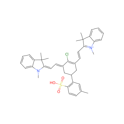 Cc1ccc(S(=O)(=O)O)c(C2CC(/C=C/C3=[N+](C)c4ccccc4C3(C)C)=C(Cl)C(=C/C=C3/N(C)c4ccccc4C3(C)C)/C2)c1